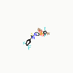 O=S(=O)(c1c(F)c(Br)cc(F)c1Br)C1CCN(c2nc(-c3cc(F)cc(F)c3)cs2)CC1